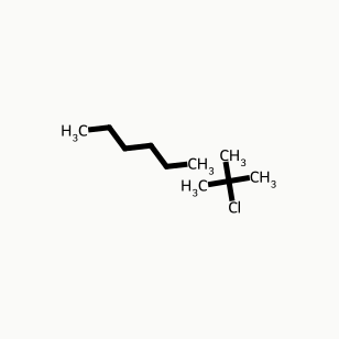 CC(C)(C)Cl.CCCCCC